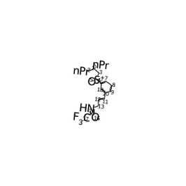 CCCC(CCC)C[S+]([O-])c1cccc(C=CCNC(=O)C(F)(F)F)c1